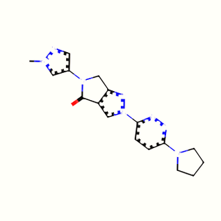 Cn1cc(N2Cc3nn(-c4ccc(N5CCCC5)nn4)cc3C2=O)cn1